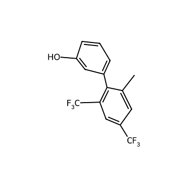 Cc1cc(C(F)(F)F)cc(C(F)(F)F)c1-c1cccc(O)c1